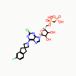 O=P(O)(O)CP(=O)(O)OC[C@H]1O[C@@H](n2cnc3c(N4CC5(Cc6ccc(F)cc6C5)C4)nc(Cl)nc32)C(O)C1O